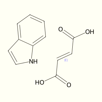 O=C(O)/C=C/C(=O)O.c1ccc2[nH]ccc2c1